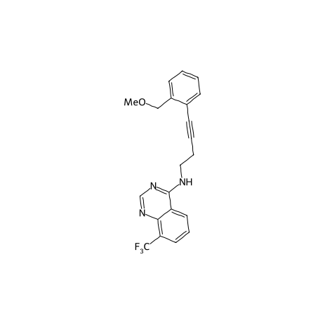 COCc1ccccc1C#CCCNc1ncnc2c(C(F)(F)F)cccc12